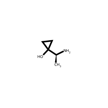 C[C@H](N)C1(O)CC1